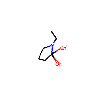 CCN1CCCC1(O)O